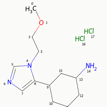 COCCn1cncc1C1CCCC(N)C1.Cl.Cl